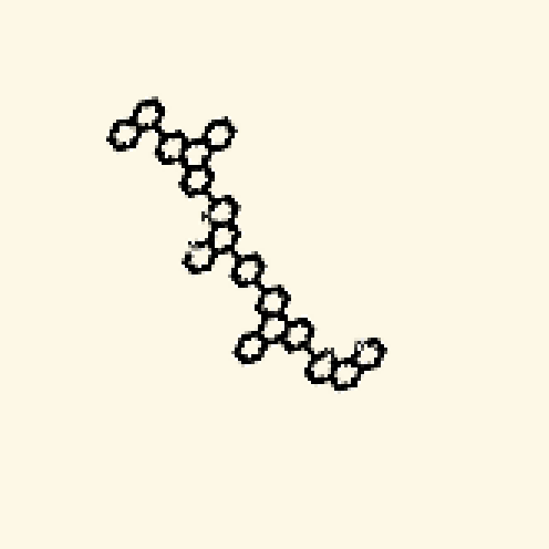 c1ccc2c(-c3ccc4c5ccc(-c6ccc7cc(-c8ccc(-c9ccc%10c%11ccc(-c%12ccc%13ccc%14cccnc%14c%13n%12)cc%11c%11ccccc%11c%10c9)cc8)c8cccnc8c7n6)cc5c5ccccc5c4c3)cccc2c1